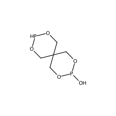 OP1OCC2(COPOC2)CO1